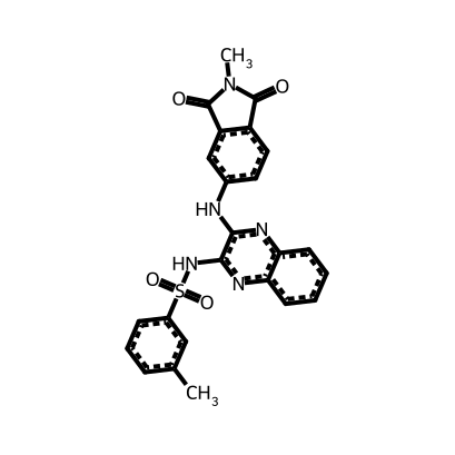 Cc1cccc(S(=O)(=O)Nc2nc3ccccc3nc2Nc2ccc3c(c2)C(=O)N(C)C3=O)c1